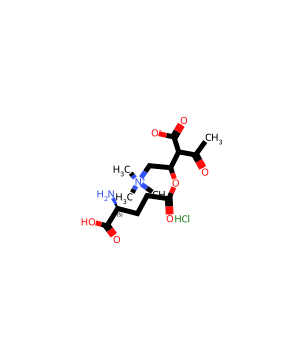 CC(=O)C(C(=O)[O-])C(C[N+](C)(C)C)OC(=O)CC[C@H](N)C(=O)O.Cl